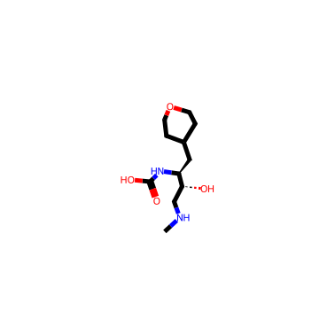 CNC[C@@H](O)[C@H](CC1CCOCC1)NC(=O)O